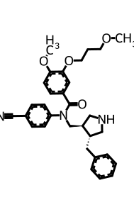 COCCCOc1cc(C(=O)N(C[C@H]2CNC[C@@H]2Cc2ccccc2)c2ccc(C#N)cc2)ccc1OC